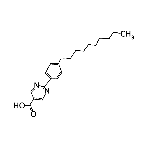 CCCCCCCCCCc1ccc(-c2ncc(C(=O)O)cn2)cc1